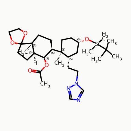 CC(=O)O[C@@H]1[C@H]([C@@]2(C)CC[C@H](O[Si](C)(C)C(C)(C)C)C[C@@H]2CCn2cncn2)CC[C@@]2(C)[C@@H]1CCC21OCCO1